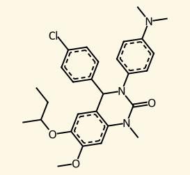 CCC(C)Oc1cc2c(cc1OC)N(C)C(=O)N(c1ccc(N(C)C)cc1)C2c1ccc(Cl)cc1